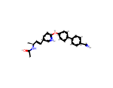 CC(=O)N[C@@H](C)/C=C/c1ccc(Oc2ccc(-c3ccc(C#N)cc3)cc2)nc1